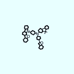 CC1(C)c2ccccc2-c2ccc(N(c3ccc(-c4cc5ccccc5o4)cc3)c3ccc(-n4c5ccccc5c5ccc6c7ccccc7oc6c54)cc3)cc21